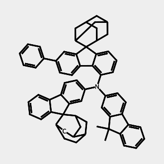 CC1(C)c2ccccc2-c2ccc(N(c3ccc4c(c3)C3(c5ccccc5-4)C4CCC5CC3CC5C4)c3cccc4c3-c3ccc(-c5ccccc5)cc3C43C4CC5CC(C4)CC3C5)cc21